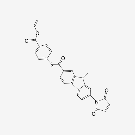 C=COC(=O)c1ccc(SC(=O)c2ccc3c(c2)C(C)c2cc(N4C(=O)C=CC4=O)ccc2-3)cc1